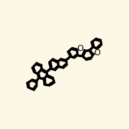 c1ccc(-c2c3ccccc3c(-c3ccc4cc(-c5ccc6oc7c(ccc8oc9ccccc9c87)c6c5)ccc4c3)c3ccccc23)cc1